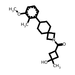 COc1cccc(C2CCC3(CC2)CN(C(=O)C2CC(C)(O)C2)C3)c1C